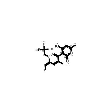 C=C(/C(C)=C\C(=C/C)OCC(F)(F)F)c1c(O)cc(C)oc1=O